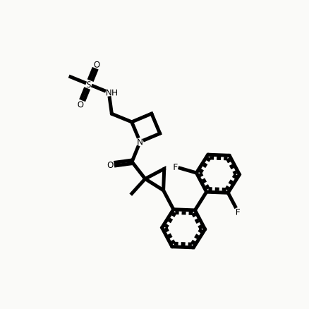 CC1(C(=O)N2CCC2CNS(C)(=O)=O)CC1c1ccccc1-c1c(F)cccc1F